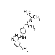 C=C/C(C)=N\C=C(/C)Cc1ccc(Nc2ncnc3ccc(N)cc23)cc1